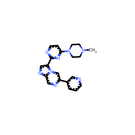 CN1CCN(c2ccnc(-c3cnc4cnc(-c5cccnc5)cn34)n2)CC1